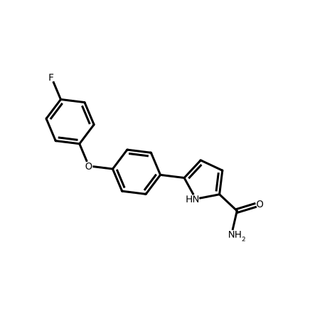 NC(=O)c1ccc(-c2ccc(Oc3ccc(F)cc3)cc2)[nH]1